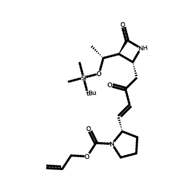 C=CCOC(=O)N1CCC[C@H]1/C=C/C(=O)C[C@H]1NC(=O)[C@@H]1[C@@H](C)O[Si](C)(C)C(C)(C)C